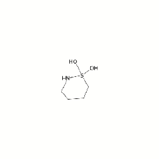 OS1(O)CCCCN1